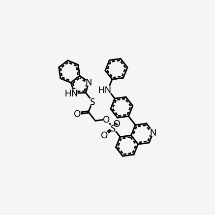 O=C(COS(=O)(=O)c1cccc2cncc(-c3ccc(Nc4ccccc4)cc3)c12)Sc1nc2ccccc2[nH]1